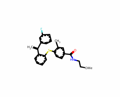 C=C(c1cccc(F)c1)c1ccccc1Sc1ccc(C(=O)NCCOC)cc1C